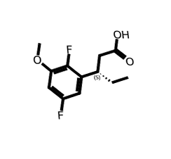 CC[C@@H](CC(=O)O)c1cc(F)cc(OC)c1F